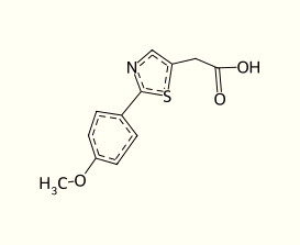 COc1ccc(-c2ncc(CC(=O)O)s2)cc1